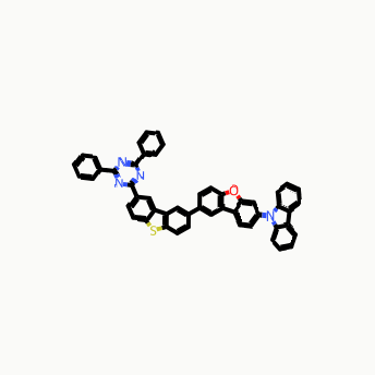 c1ccc(-c2nc(-c3ccccc3)nc(-c3ccc4sc5ccc(-c6ccc7oc8cc(-n9c%10ccccc%10c%10ccccc%109)ccc8c7c6)cc5c4c3)n2)cc1